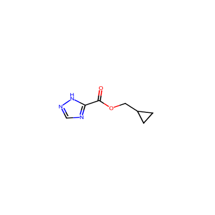 O=C(OCC1CC1)c1ncn[nH]1